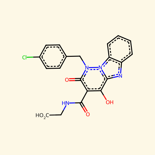 O=C(O)CNC(=O)c1c(O)c2nc3ccccc3n2n(Cc2ccc(Cl)cc2)c1=O